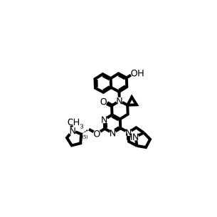 CN1CCC[C@H]1COc1nc2c(c(N3CC4CCC(C3)N4)n1)CC1(CC1)N(c1cc(O)cc3ccccc13)C2=O